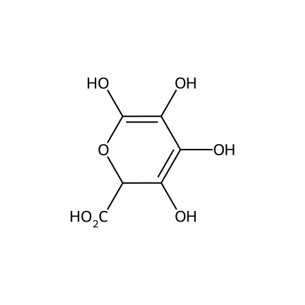 O=C(O)C1OC(O)=C(O)C(O)=C1O